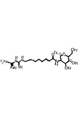 CC[C@@H]1OC(CO)[C@@H](O)C(O)C1NC(=O)CCCCCCCNC(=N)NC(=N)N